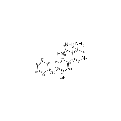 N=C(N)c1c(N)cncc1-c1ccc(Oc2ccccc2)c(F)c1